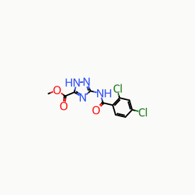 COC(=O)c1nc(NC(=O)c2ccc(Cl)cc2Cl)n[nH]1